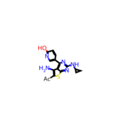 CC(=O)c1sc2nc(NC3CC3)nc(-c3ccc(O)nc3)c2c1N